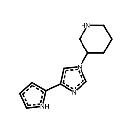 c1c[nH]c(-c2cn(C3CCCNC3)cn2)c1